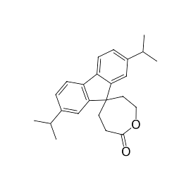 CC(C)c1ccc2c(c1)C1(CCOC(=O)CC1)c1cc(C(C)C)ccc1-2